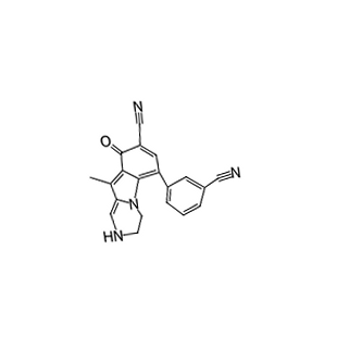 Cc1c2c(n3c1=CNCC3)=C(c1cccc(C#N)c1)C=C(C#N)C2=O